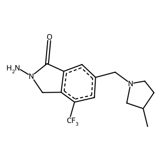 CC1CCN(Cc2cc3c(c(C(F)(F)F)c2)CN(N)C3=O)C1